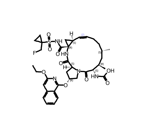 CCOc1cc2ccccc2c(O[C@@H]2C[C@H]3C(=O)N[C@]4(C(=O)NS(=O)(=O)C5(CF)CC5)C[C@H]4/C=C\CC[C@H](C)C[C@@H](C)[C@H](NC(=O)O)C(=O)N3C2)n1